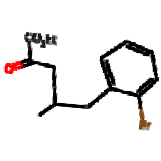 CCOC(=O)C(=O)CC(C)Cc1ccccc1Br